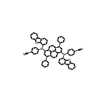 N#Cc1ccc(N(c2cc(-c3ccccc3)c3ccc4c(N(c5ccc(C#N)cc5)c5cccc6c5oc5ccccc56)cc(-c5ccccc5)c5ccc2c3c54)c2cccc3c2oc2ccccc23)cc1